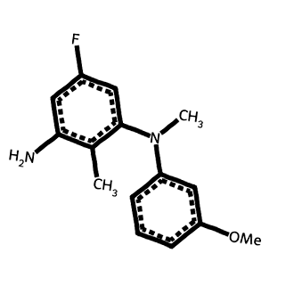 COc1cccc(N(C)c2cc(F)cc(N)c2C)c1